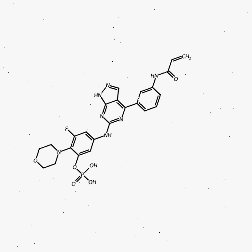 C=CC(=O)Nc1cccc(-c2nc(Nc3cc(F)c(N4CCOCC4)c(OP(=O)(O)O)c3)nc3[nH]ncc23)c1